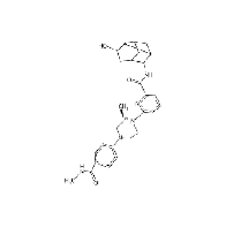 CNC(=O)c1ccc(N2CCN(c3cccc(C(=O)NC4C5CC6CC4CC(O)(C6)C5)n3)[C@H](C)C2)cc1